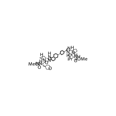 COC(=O)NC(C=C1CCOCC1)C(=O)N1[C@@H]2C[C@@H]2C[C@H]1c1nc2ccc3cc(-c4ccc(-c5cnc(C6[C@H]7CC[C@H](C7)N6C(=O)[C@@H](NC(=O)OC)C(C)C)[nH]5)cc4)ccc3c2[nH]1